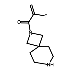 C=C(F)C(=O)N1CC2(CCNCC2)C1